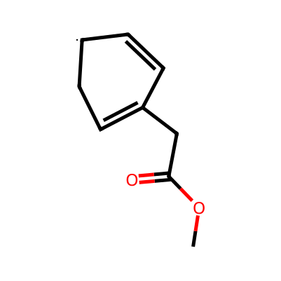 COC(=O)CC1=CC[CH]C=C1